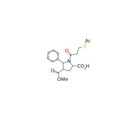 COC(=O)C1CC(C(=O)O)N(C(=O)CCSC(C)=O)C1c1ccccc1